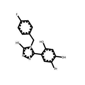 CC(C)c1cc(-c2nnc(S)n2Cc2ccc(F)cc2)c(O)cc1O